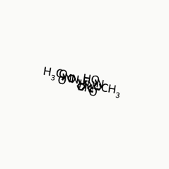 COC(=O)N1CCN(Cc2cccc(N(C=O)Nc3ccc(C)nc3O)c2F)CC1